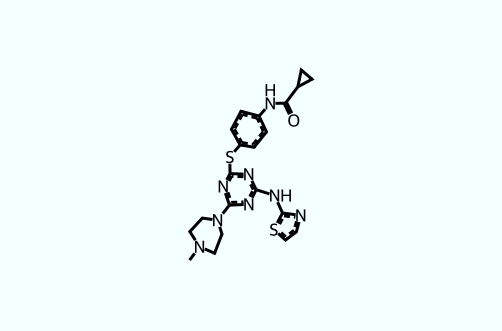 CN1CCN(c2nc(Nc3nccs3)nc(Sc3ccc(NC(=O)C4CC4)cc3)n2)CC1